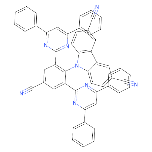 N#Cc1cc(-c2nc(-c3ccccc3)cc(-c3ccccc3)n2)c(-n2c3ccc(C#N)cc3c3cc(C#N)ccc32)c(-c2nc(-c3ccccc3)cc(-c3ccccc3)n2)c1